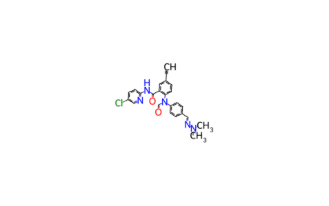 C#Cc1ccc(N(C=O)c2ccc(C=NN(C)C)cc2)c(C(=O)Nc2ccc(Cl)cn2)c1